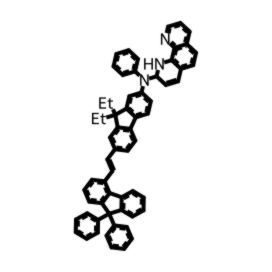 CCC1(CC)c2cc(/C=C/c3cccc4c3-c3ccccc3C4(c3ccccc3)c3ccccc3)ccc2-c2ccc(N(c3ccccc3)C3C=Cc4ccc5cccnc5c4N3)cc21